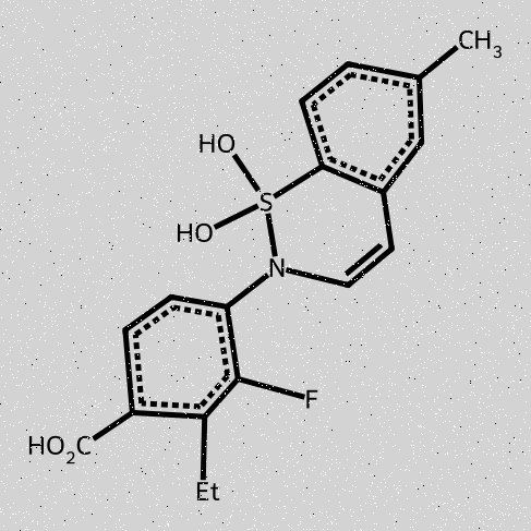 CCc1c(C(=O)O)ccc(N2C=Cc3cc(C)ccc3S2(O)O)c1F